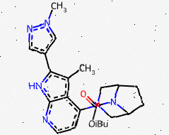 Cc1c(-c2cnn(C)c2)[nH]c2nccc(N3CC4CCC(C3)N4C(=O)OCC(C)C)c12